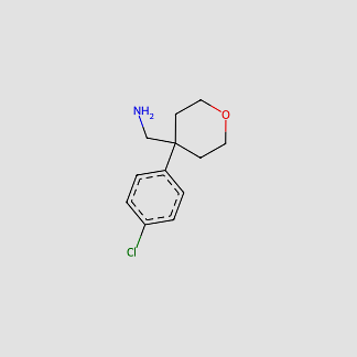 NCC1(c2ccc(Cl)cc2)CCOCC1